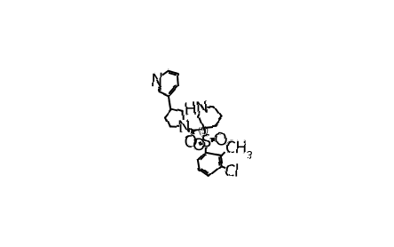 Cc1c(Cl)cccc1S(=O)(=O)[C@@]1(C(=O)N2CCC(c3cccnc3)C2)CCCNC1